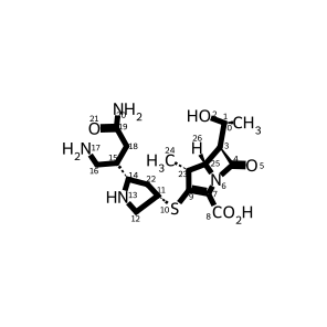 C[C@@H](O)[C@H]1C(=O)N2C(C(=O)O)=C(S[C@@H]3CN[C@H](C(CN)CC(N)=O)C3)[C@H](C)[C@H]12